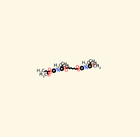 C=CCC(C(C)=O)C(=O)Oc1ccc(N=Nc2ccc(OC(=O)CCCCCCC(=O)Oc3ccc(N=Nc4ccc(OC)c(C(C)(C)C)c4)cc3)c(C(C)(C)C)c2)cc1